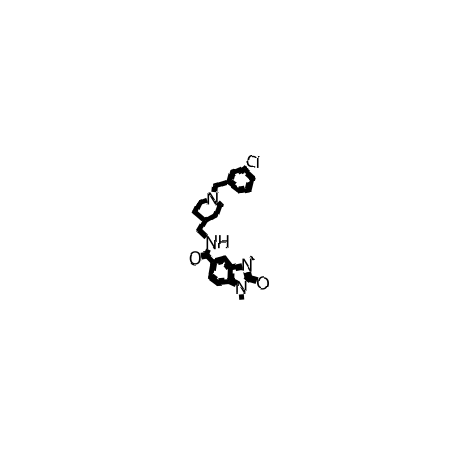 Cn1c(=O)n(C)c2cc(C(=O)NCC3CCN(Cc4cccc(Cl)c4)CC3)ccc21